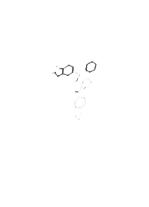 CCOC(=O)c1cc2cc(NC(=O)[C@@H]3[C@H](c4ccccc4)CCN3C(=O)[C@H]3CC[C@H](CN)CC3)ccc2[nH]1